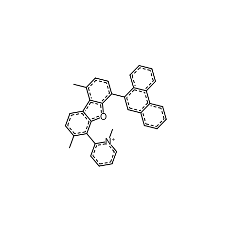 Cc1ccc2c(oc3c(-c4cc5ccccc5c5ccccc45)ccc(C)c32)c1-c1cccc[n+]1C